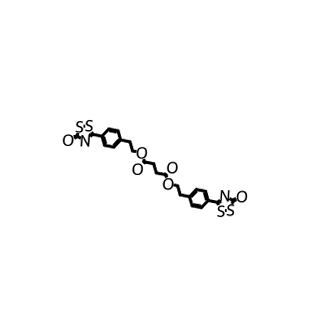 O=C(CCC(=O)OCCc1ccc(-c2nc(=O)ss2)cc1)OCCc1ccc(-c2nc(=O)ss2)cc1